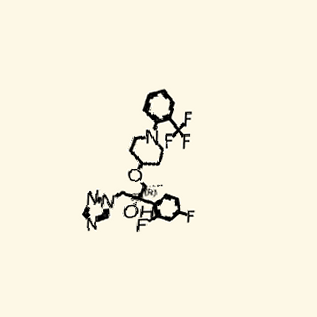 C[C@@H](OC1CCN(c2ccccc2C(F)(F)F)CC1)[C@](O)(Cn1cncn1)c1ccc(F)cc1F